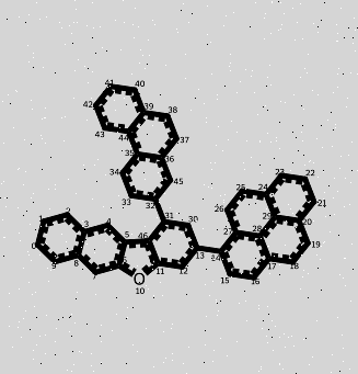 c1ccc2cc3c(cc2c1)oc1cc(-c2ccc4ccc5cccc6ccc2c4c56)cc(-c2ccc4c(ccc5ccccc54)c2)c13